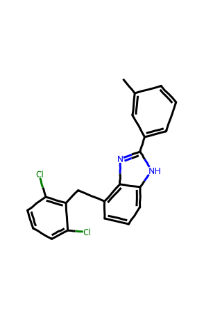 Cc1cccc(-c2nc3c(Cc4c(Cl)cccc4Cl)cccc3[nH]2)c1